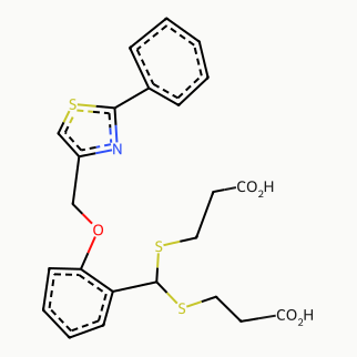 O=C(O)CCSC(SCCC(=O)O)c1ccccc1OCc1csc(-c2ccccc2)n1